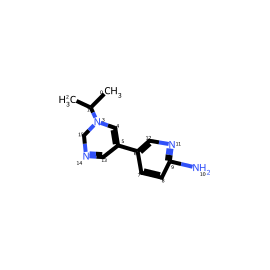 CC(C)N1C=C(c2ccc(N)nc2)C=NC1